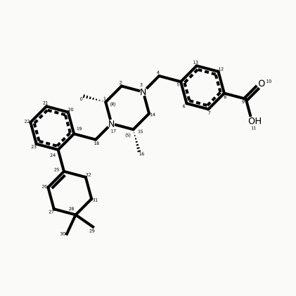 C[C@@H]1CN(Cc2ccc(C(=O)O)cc2)C[C@H](C)N1Cc1ccccc1C1=CCC(C)(C)CC1